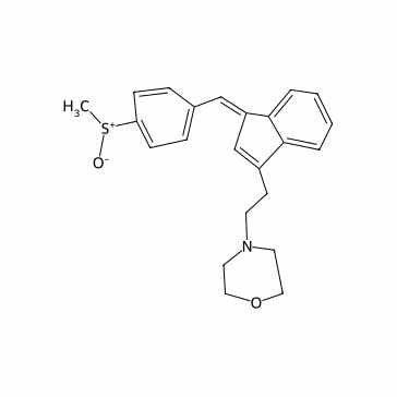 C[S+]([O-])c1ccc(/C=C2\C=C(CCN3CCOCC3)c3ccccc32)cc1